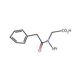 CCCN(CC(=O)O)C(=O)Cc1ccccc1